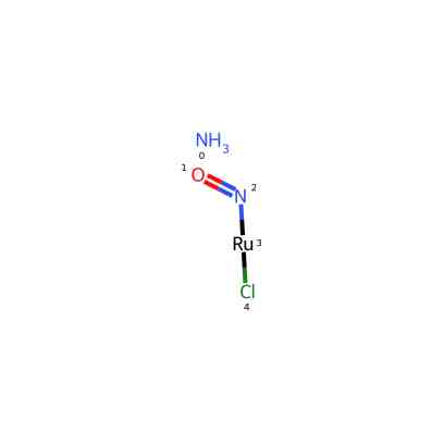 N.O=[N][Ru][Cl]